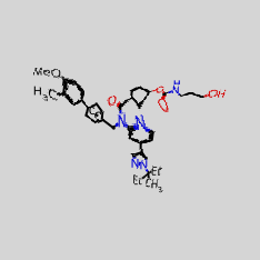 CCC(C)(CC)n1cc(-c2ccnc(N(CC34CCC(c5ccc(OC)c(C)c5)(CC3)CC4)C(=O)C3CCC(OC(=O)NCCCO)CC3)c2)cn1